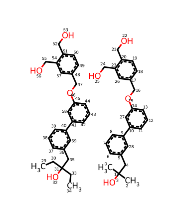 CC(C)(O)Cc1cccc(-c2cccc(OCc3ccc(CO)c(CO)c3)c2)c1.CCC(O)(CC)Cc1cccc(-c2cccc(OCc3ccc(CO)c(CO)c3)c2)c1